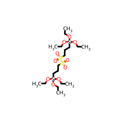 CCO[Si](CCCS(=O)(=O)S(=O)(=O)CCC[Si](OCC)(OCC)OCC)(OCC)OCC